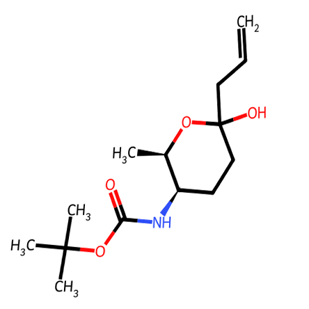 C=CCC1(O)CC[C@@H](NC(=O)OC(C)(C)C)[C@@H](C)O1